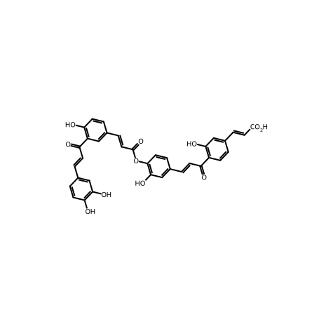 O=C(O)C=Cc1ccc(C(=O)C=Cc2ccc(OC(=O)C=Cc3ccc(O)c(C(=O)C=Cc4ccc(O)c(O)c4)c3)c(O)c2)c(O)c1